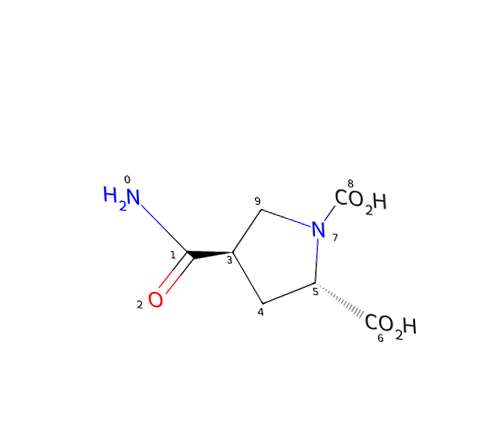 NC(=O)[C@@H]1C[C@@H](C(=O)O)N(C(=O)O)C1